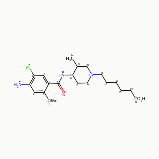 COc1cc(N)c(Cl)cc1C(=O)NC1CCN(CCCCCC(=O)O)CC1C